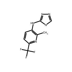 Cc1nc(C(F)(F)F)ccc1NC1=NN=C[N]1